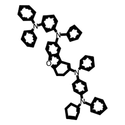 C1=CCCC(N(c2ccccc2)c2ccc(N(C3=Cc4c(oc5ccc(N(c6ccccc6)c6cccc(N(c7ccccc7)c7ccccc7)c6)cc45)CC3)c3ccccc3)cc2)=C1